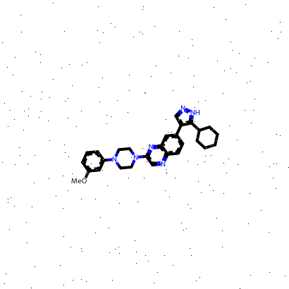 COc1cccc(N2CCN(c3cnc4ccc(-c5cn[nH]c5C5CCCCC5)cc4n3)CC2)c1